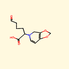 O=CCCCC(C(=O)O)N1C=CC2=C(C1)OCO2